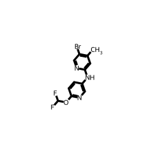 Cc1cc(Nc2ccc(OC(F)F)nc2)ncc1Br